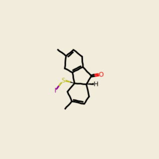 CC1=CCC2=C(C1)[C@@]1(SI)CC(C)=CC[C@H]1C2=O